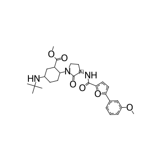 COC(=O)C1CC(NC(C)(C)C)CCC1N1CC[C@H](NC(=O)c2ccc(-c3cccc(OC)c3)o2)C1=O